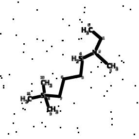 CCN(C)[SiH2]CCC[Si](C)(C)C